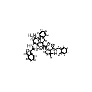 Cc1ccccc1CNC(=O)[C@H]1N(C(=O)[C@@H](O)[C@H](Cc2ccccc2)NC(=O)[C@H](CC(N)=O)NC(=O)c2occ3ccccc23)CSC1(C)C